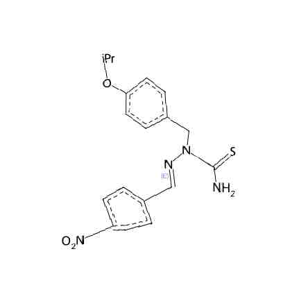 CC(C)Oc1ccc(CN(/N=C/c2ccc([N+](=O)[O-])cc2)C(N)=S)cc1